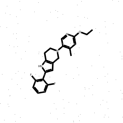 CCOc1cc(C)c(N2CCc3[nH]c(-c4c(F)cccc4F)cc3C2)cn1